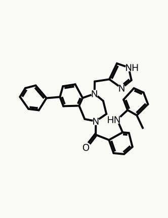 Cc1ccccc1Nc1ccccc1C(=O)N1CCN(Cc2c[nH]cn2)c2ccc(-c3ccccc3)cc2C1